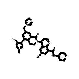 CCc1cc(C(=O)Nc2ccncc2)c2nccc(N3CCc4c(cc(Cn5ccnc5)cc4-c4cn(C)nc4C(F)(F)F)C3=O)c2c1